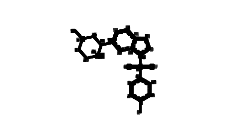 Cc1ccc(S(=O)(=O)n2ccc3ccc(C4CN(C)CCN4)cc32)cc1